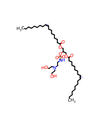 CCCCCCCC/C=C\CCCCCCCC(=O)OCC(COC(=O)CCCCCCC/C=C\CCCCCCCC)OS(=O)(=O)NCCN(CCO)CCO